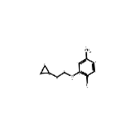 Cc1ccc(F)c(OCCC2CC2)c1